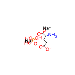 NC(CCC(=O)[O-])C(=O)[O-].O=P(O)(O)O.[Na+].[Na+]